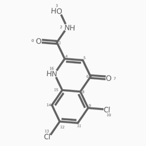 O=C(NO)c1cc(=O)c2c(Cl)cc(Cl)cc2[nH]1